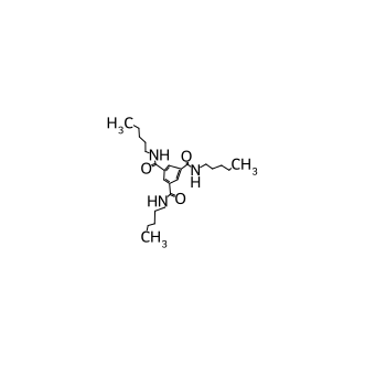 CCCCCNC(=O)c1cc(C(=O)NCCCCC)cc(C(=O)NCCCCC)c1